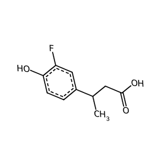 CC(CC(=O)O)c1ccc(O)c(F)c1